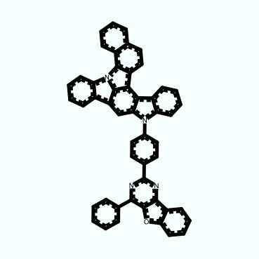 c1ccc(-c2nc(-c3ccc(-n4c5ccccc5c5c6c7ccc8ccccc8c7n7c8ccccc8c(cc54)c67)cc3)nc3c2oc2ccccc23)cc1